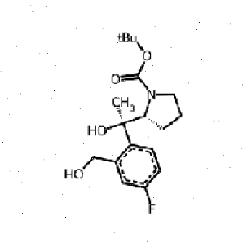 CC(C)(C)OC(=O)N1CCC[C@@H]1[C@](C)(O)c1ccc(F)cc1CO